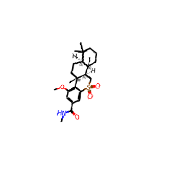 CNC(=O)c1cc(OC)c2c(c1)S(=O)(=O)C[C@@H]1[C@@]3(C)CCCC(C)(C)[C@@H]3CC[C@@]21C